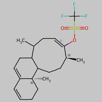 CC1C/C=C(/OS(=O)(=O)C(F)(F)F)[C@@H](C)CCC2C1CC=C1C=CCC[C@@]12C